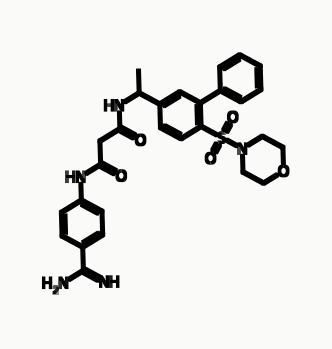 CC(NC(=O)CC(=O)Nc1ccc(C(=N)N)cc1)c1ccc(S(=O)(=O)N2CCOCC2)c(-c2ccccc2)c1